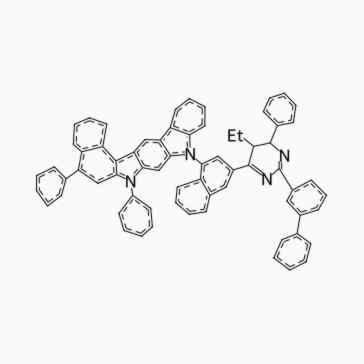 CCC1C(c2cc(-n3c4ccccc4c4cc5c6c7ccccc7c(-c7ccccc7)cc6n(-c6ccccc6)c5cc43)c3ccccc3c2)=NC(c2cccc(-c3ccccc3)c2)=NC1c1ccccc1